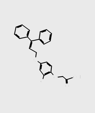 Cc1cc(OCC=C(c2ccccc2)c2ccccc2)ccc1OCC(=O)O